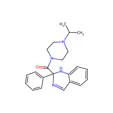 CC(C)N1CCN(C(=O)C2(c3ccccc3)N=Cc3ccccc3N2)CC1